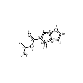 CC(C)C(C)OC(=O)c1cc2occc2[nH]1